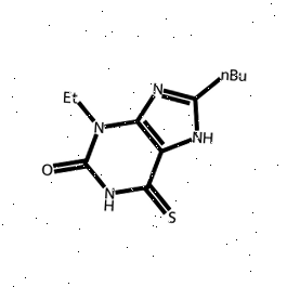 CCCCc1nc2c([nH]1)c(=S)[nH]c(=O)n2CC